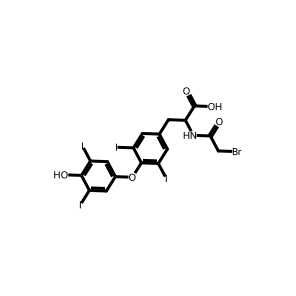 O=C(CBr)NC(Cc1cc(I)c(Oc2cc(I)c(O)c(I)c2)c(I)c1)C(=O)O